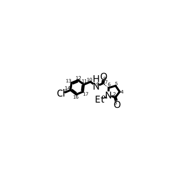 CCN1C(=O)CC[C@H]1C(=O)NCc1ccc(Cl)cc1